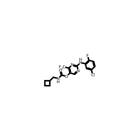 O=C(NCC1CCC1)Oc1cnc(Nc2cc(Cl)ccc2F)nc1C(F)(F)F